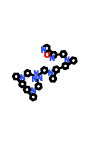 c1cc(-c2cnc3oc4ncccc4c3c2)cc(-n2c3ccccc3c3ccc(-c4ccc5c(c4)c4ccccc4n5-c4cccc(-c5nc(-c6cccc(-n7c8ccccc8c8ccccc87)c6)nc(-c6cccc(-n7c8ccccc8c8ccccc87)c6)n5)c4)cc32)c1